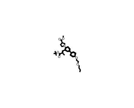 CCCCOCCOc1ccc(-c2ccc(N3CCC(C(=O)OC)C3)c(/C=C(\C)C(=O)OC(C)(C)C)c2)cc1